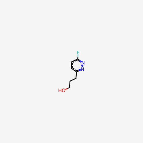 OCCCc1ccc(F)nn1